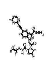 CC(C)=C(F)CNC(=O)[C@@H]1C[C@@H](F)CN1C(=O)Cn1nc(C(N)=O)c2cc(C#Cc3ncccn3)ccc21